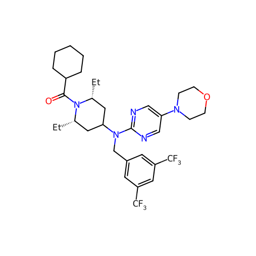 CC[C@@H]1CC(N(Cc2cc(C(F)(F)F)cc(C(F)(F)F)c2)c2ncc(N3CCOCC3)cn2)C[C@H](CC)N1C(=O)C1CCCCC1